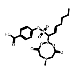 CCCCC=CC(B1OC(=O)CN(C)CC(=O)O1)S(=O)(=O)Oc1ccc(C(=O)O)cc1